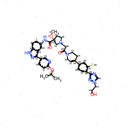 CO[C@@]1(C(=O)Nc2ccc3[nH]nc(-c4ccc(OC(C)C)nc4)c3c2)CCN(CC(=O)N2CC=C(c3ccc(-c4ncn(CCO)n4)c(F)c3)CC2)C1